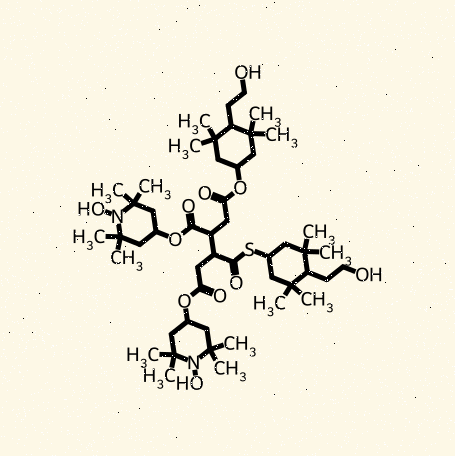 CC1(C)CC(OC(=O)CC(C(=O)OC2CC(C)(C)N(O)C(C)(C)C2)C(CC(=O)OC2CC(C)(C)N(O)C(C)(C)C2)C(=O)SC2CC(C)(C)C(CCO)C(C)(C)C2)CC(C)(C)C1CCO